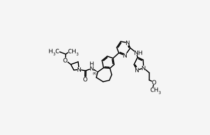 COCCn1cc(Nc2nccc(-c3ccc4c(c3)CCCC[C@H]4NC(=O)N3CC(OC(C)C)C3)n2)cn1